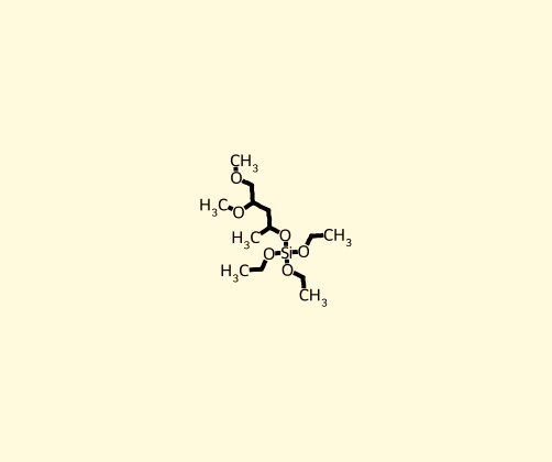 CCO[Si](OCC)(OCC)OC(C)CC(COC)OC